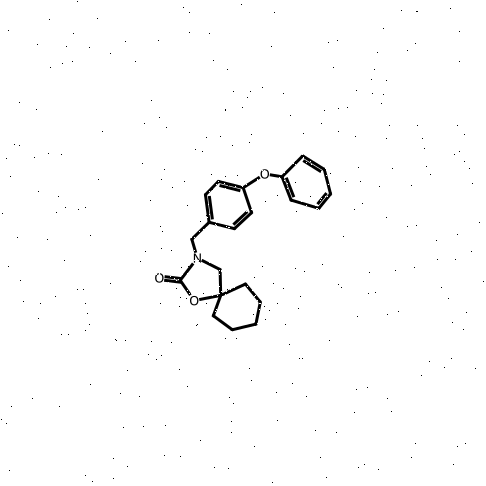 O=C1OC2(CCCCC2)CN1Cc1ccc(Oc2ccccc2)cc1